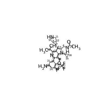 CC(=O)NCc1c(C2C3CNCC32)c2c(C(C)C)nc(-c3cc(N)cc(F)c3OC(F)(F)F)c(F)c2n1C1CC1